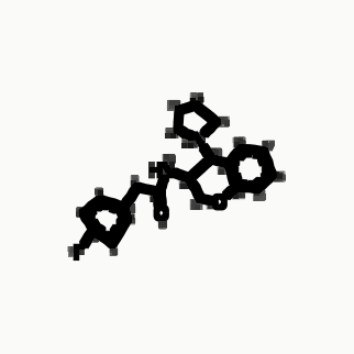 O=C(Cc1ccc(F)cc1)NC1COc2ccccc2C1N1CCCC1